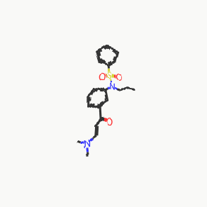 CCCN(c1cccc(C(=O)C=CN(C)C)c1)S(=O)(=O)c1ccccc1